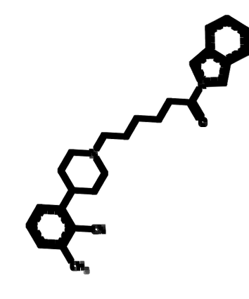 Cc1cccc(C2CCN(CCCCCC(=O)n3cc4ccccc4c3)CC2)c1C#N